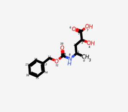 CC(CC(O)C(=O)O)NC(=O)OCc1ccccc1